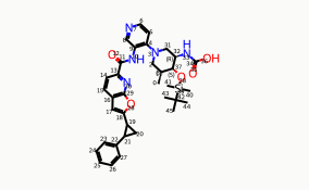 C[C@H]1CN(c2ccncc2NC(=O)c2ccc3cc(C4CC4c4ccccc4)oc3n2)C[C@@H](NC(=O)O)[C@H]1O[Si](C)(C)C(C)(C)C